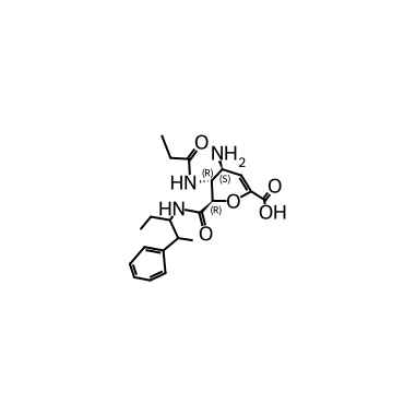 CCC(=O)N[C@@H]1[C@@H](N)C=C(C(=O)O)O[C@H]1C(=O)NC(CC)C(C)c1ccccc1